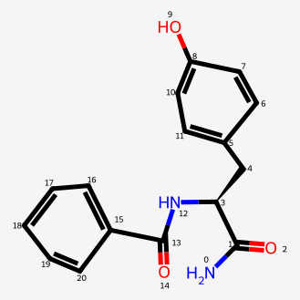 NC(=O)[C@H](Cc1ccc(O)cc1)NC(=O)c1ccccc1